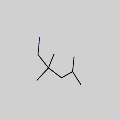 CC(C)CC(C)(C)CI